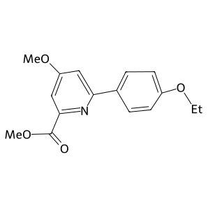 CCOc1ccc(-c2cc(OC)cc(C(=O)OC)n2)cc1